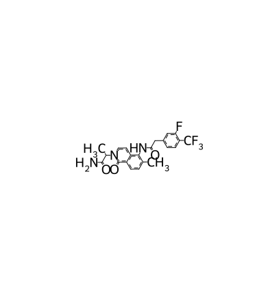 Cc1ccc2c(=O)n(C(C)C(N)=O)ccc2c1NC(=O)Cc1ccc(C(F)(F)F)c(F)c1